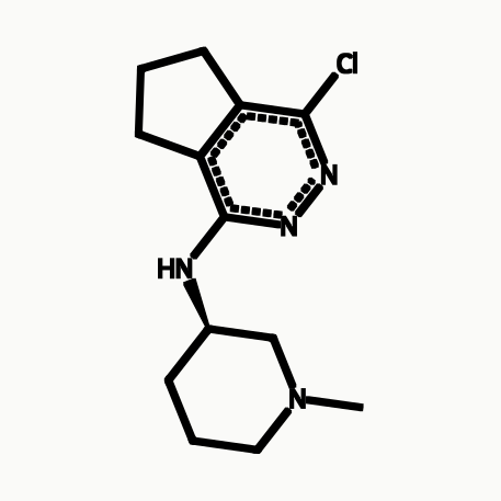 CN1CCC[C@@H](Nc2nnc(Cl)c3c2CCC3)C1